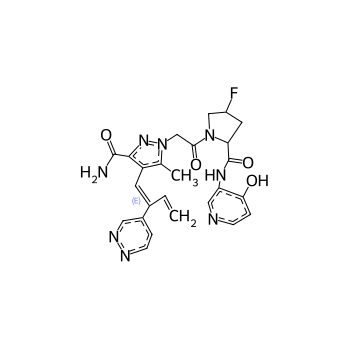 C=C/C(=C\c1c(C(N)=O)nn(CC(=O)N2CC(F)CC2C(=O)Nc2cnccc2O)c1C)c1ccnnc1